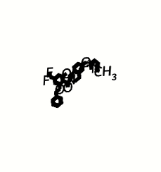 CN1CC[C@H](Oc2ccc3c(c2)CCN(C(=O)c2c(O)cc(C(F)F)cc2OCc2ccccc2)C3)C1